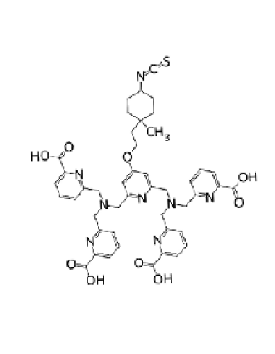 CC1(CCOc2cc(CN(Cc3cccc(C(=O)O)n3)Cc3cccc(C(=O)O)n3)nc(CN(Cc3cccc(C(=O)O)n3)Cc3cccc(C(=O)O)n3)c2)CCC(N=C=S)CC1